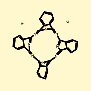 [Ni].[V].c1ccc2c(c1)-c1nc-2nc2[nH]c(nc3nc(nc4[nH]c(n1)c1ccccc41)-c1ccccc1-3)c1ccccc21